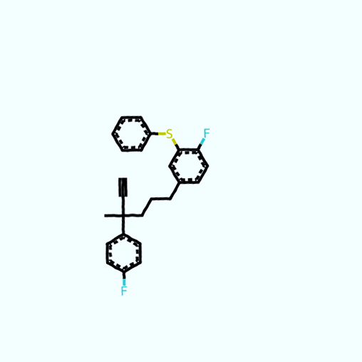 C#CC(C)(CCCc1ccc(F)c(Sc2ccccc2)c1)c1ccc(F)cc1